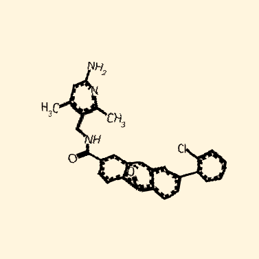 Cc1cc(N)nc(C)c1CNC(=O)c1ccc2c(c1)c1oc2c2ccc(-c3ccccc3Cl)cc21